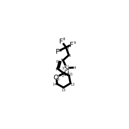 C=CC1([SiH](C)CCC(F)(F)F)CCCCO1